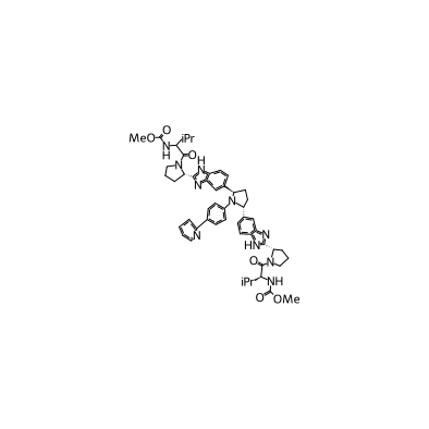 COC(=O)NC(C(=O)N1CCC[C@H]1c1nc2cc([C@H]3CC[C@H](c4ccc5[nH]c([C@@H]6CCCN6C(=O)[C@@H](NC(=O)OC)C(C)C)nc5c4)N3c3ccc(-c4ccccn4)cc3)ccc2[nH]1)C(C)C